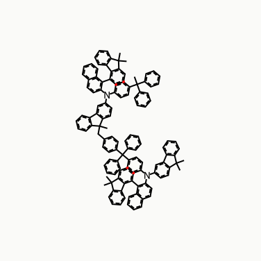 CC1(C)c2ccccc2-c2cc(N(c3ccc(C(c4ccccc4)(c4ccccc4)c4ccc(CC5(C)c6ccccc6-c6cc(N(c7ccc(C(C)(c8ccccc8)c8ccccc8)cc7)c7ccc8ccccc8c7-c7cccc8c7-c7ccccc7C8(C)C)ccc65)cc4)cc3)c3ccc4ccccc4c3-c3cccc4c3-c3ccccc3C4(C)C)ccc21